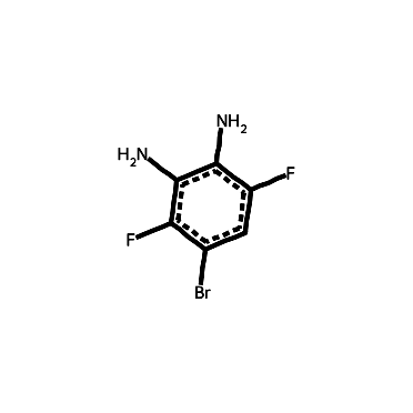 Nc1c(F)cc(Br)c(F)c1N